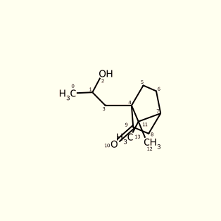 CC(O)CC12CCC(CC1=O)C2(C)C